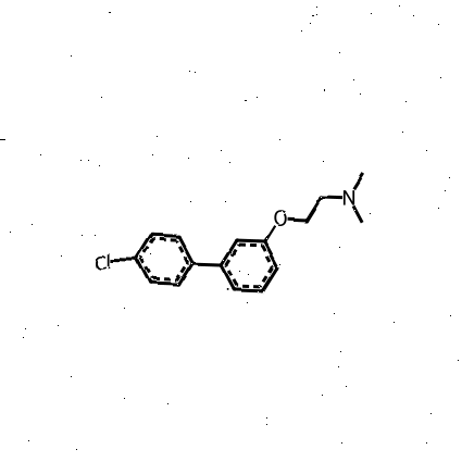 CN(C)CCOc1cc[c]c(-c2ccc(Cl)cc2)c1